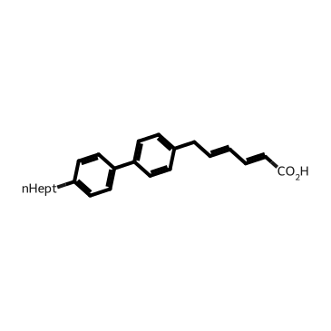 CCCCCCCc1ccc(-c2ccc(C/C=C/C=C/C(=O)O)cc2)cc1